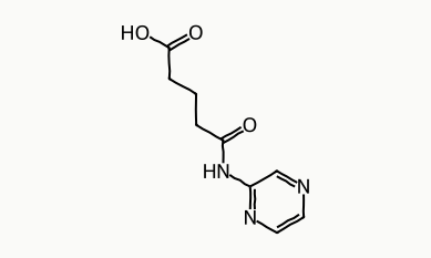 O=C(O)CCCC(=O)Nc1cnccn1